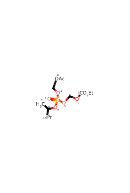 CCOC(=O)OCOP(=O)(OCOC(C)=O)OC(C)C(C)C